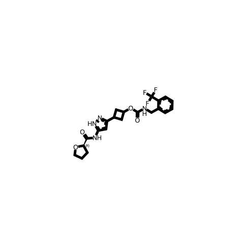 O=C(NCc1ccccc1C(F)(F)F)OC1CC(c2cc(NC(=O)[C@H]3CCCO3)[nH]n2)C1